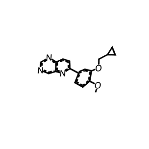 COc1ccc(-c2ccc3ncncc3n2)cc1OCC1CC1